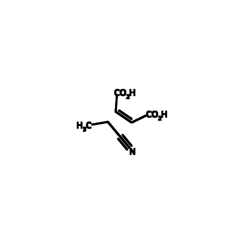 CCC#N.O=C(O)/C=C\C(=O)O